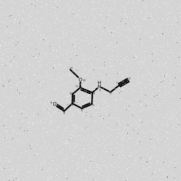 C#CCNc1ccc(C=O)cc1OC